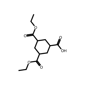 CCOC(=O)C1CC(C(=O)O)CC(C(=O)OCC)C1